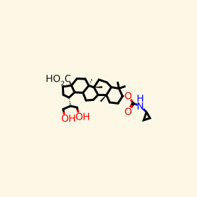 CC1(C)C2CC[C@]3(C)C(CCC4C5[C@H](C(CO)CO)CC[C@]5(C(=O)O)CC[C@]43C)[C@@]2(C)CC[C@H]1OC(=O)NC1CC1